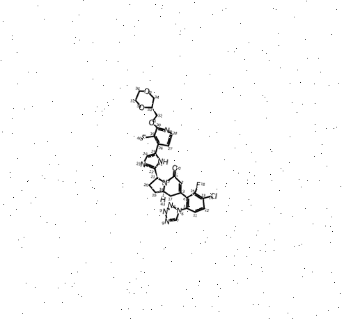 O=C1C=C(c2c(-n3cnnn3)ccc(Cl)c2F)C[C@H]2CC[C@@H](c3ncc(-c4ccnc(OC[C@@H]5COCCO5)c4F)[nH]3)N12